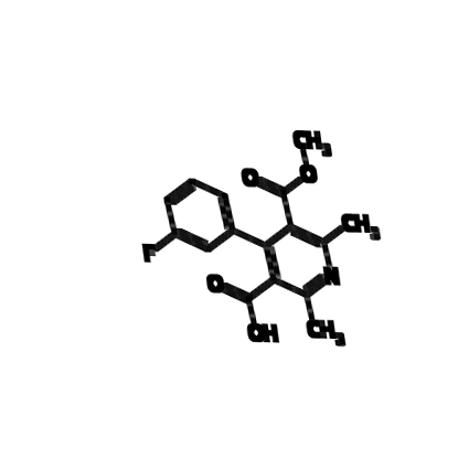 COC(=O)c1c(C)nc(C)c(C(=O)O)c1-c1cccc(F)c1